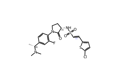 C[C@H](c1ccc(N2CC[C@H](NS(=O)(=O)/C=C/c3ccc(Cl)s3)C2=O)c(F)c1)N(C)C